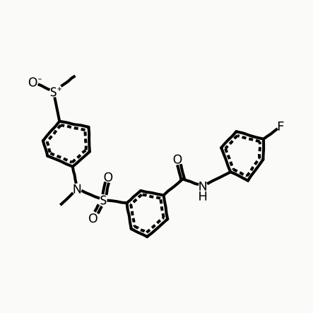 CN(c1ccc([S+](C)[O-])cc1)S(=O)(=O)c1cccc(C(=O)Nc2ccc(F)cc2)c1